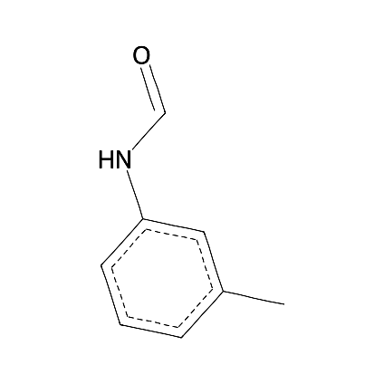 Cc1cccc(NC=O)c1